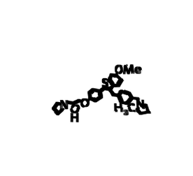 COc1ccc2c(Cc3ccc(CN4CCCC4)c(C)c3)c(-c3ccc(OC[C@H](O)CN4CCCC4)cc3)sc2c1